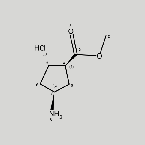 COC(=O)[C@@H]1CC[C@H](N)C1.Cl